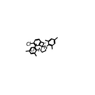 Cc1cc(C)c(N2CCN(c3c(C)cc(C)cc3C)C23[C]c2ccc(Cl)c(Cl)c23)c(C)c1